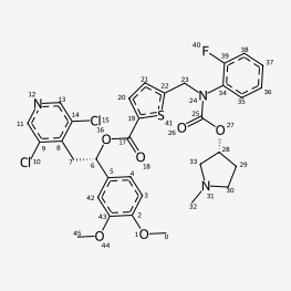 COc1ccc([C@H](Cc2c(Cl)cncc2Cl)OC(=O)c2ccc(CN(C(=O)O[C@@H]3CCN(C)C3)c3ccccc3F)s2)cc1OC